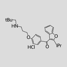 CC(C)c1oc2ccccc2c1C(=O)c1ccc(OCCCNCC(C)(C)C)cc1.Cl